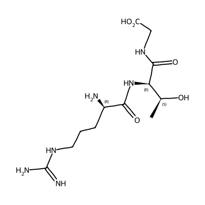 C[C@H](O)[C@@H](NC(=O)[C@H](N)CCCNC(=N)N)C(=O)NCC(=O)O